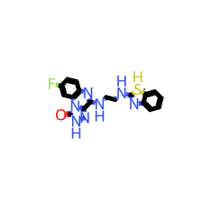 O=c1[nH]nc2c(NCCNC3=Nc4ccccc4[SH]3)nc3ccc(F)cc3n12